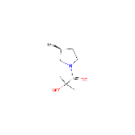 CC(C)(O)C(=O)N1CC[C@H](C(C)(C)C)C1